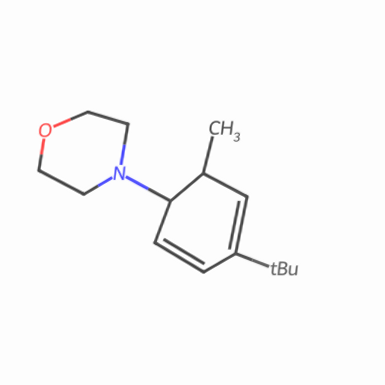 CC1C=C(C(C)(C)C)C=CC1N1CCOCC1